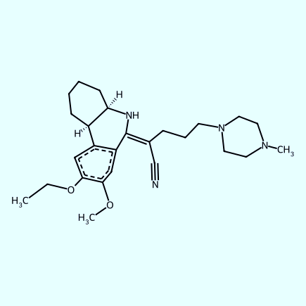 CCOc1cc2c(cc1OC)C(=C(C#N)CCCN1CCN(C)CC1)N[C@@H]1CCCC[C@H]21